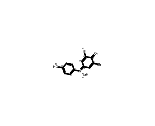 O=C1C(Br)=CC(=Nc2ccc(O)cc2)C=C1Br.[NaH]